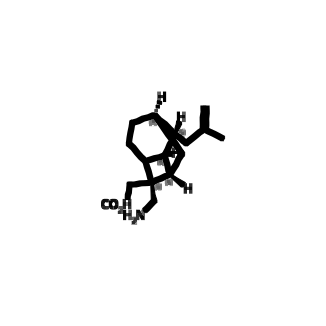 C=C(C)C[C@H]1[C@@H]2CCC3[C@H]1[C@H](C2)[C@]3(CN)CC(=O)O